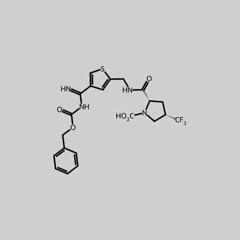 N=C(NC(=O)OCc1ccccc1)c1csc(CNC(=O)[C@@H]2C[C@H](C(F)(F)F)CN2C(=O)O)c1